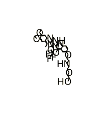 COc1cc2nc(Nc3nc(OC(=O)C(F)(F)F)c4cc(OCCNCCOCCO)ccc4n3)nc(C)c2cc1OC